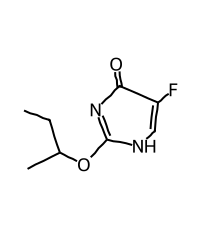 CCC(C)Oc1nc(=O)c(F)c[nH]1